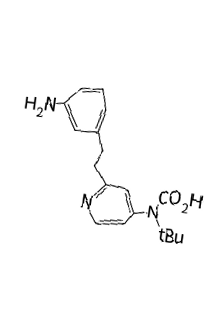 CC(C)(C)N(C(=O)O)c1ccnc(CCc2cccc(N)c2)c1